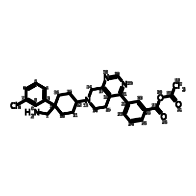 NCC1(c2cccc(Cl)c2)CCC(N2CCc3c(ncnc3-c3cccc(C(=O)OC(=O)C(F)(F)F)c3)C2)CC1